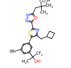 CC(C)(Cc1nnc(-c2nc(CC3CCC3)c(-c3cc(C(C)(C)C)cc(C(C)(O)C(F)(F)F)c3)s2)o1)C(=O)O